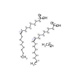 CCCCCCCC/C=C\CCCCCCCC(=O)O.CCCCCCCC/C=C\CCCCCCCC(=O)O.[CaH2].[Zn]